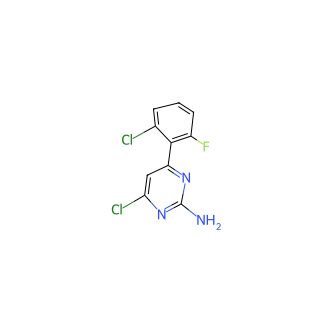 Nc1nc(Cl)cc(-c2c(F)cccc2Cl)n1